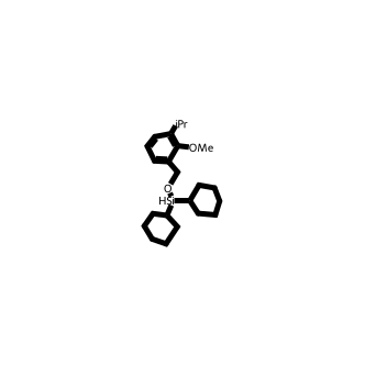 COc1c(CO[SiH](C2CCCCC2)C2CCCCC2)cccc1C(C)C